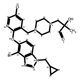 CC(O)(C=O)CN1CCN(Cc2cc(Cl)cnc2Oc2ccc3c(nnn3CC3CC3)c2Br)CC1